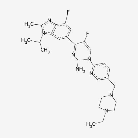 CCN1CCN(Cc2ccc(N3C=C(F)C(c4cc(F)c5nc(C)n(C(C)C)c5c4)=NC3N)nc2)CC1